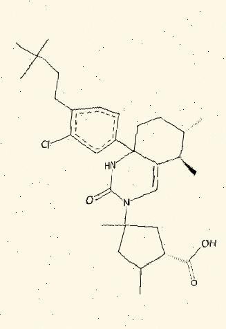 CC1CC(C)(N2C=C3[C@H](C)[C@@H](C)CCC3(c3ccc(CCC(C)(C)C)c(Cl)c3)NC2=O)C[C@@H]1C(=O)O